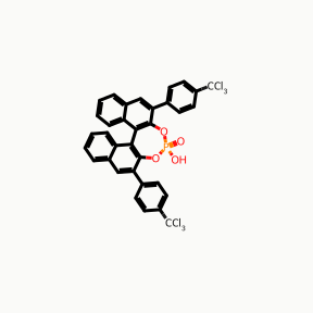 O=P1(O)Oc2c(-c3ccc(C(Cl)(Cl)Cl)cc3)cc3ccccc3c2-c2c(c(-c3ccc(C(Cl)(Cl)Cl)cc3)cc3ccccc23)O1